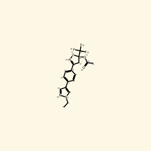 CCn1cc(-c2ccc(C3=NO[C@](OC(C)=O)(C(F)(F)F)C3)cc2)cn1